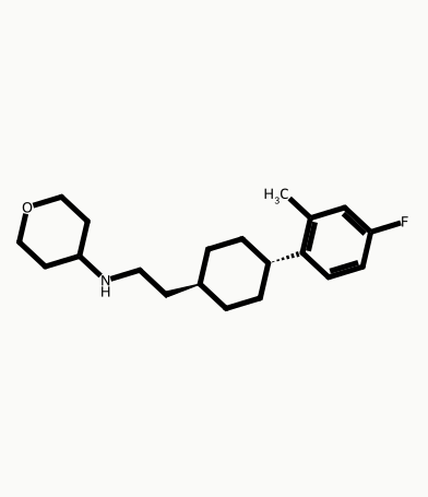 Cc1cc(F)ccc1[C@H]1CC[C@H](CCNC2CCOCC2)CC1